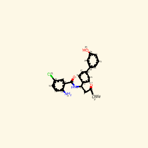 COC(=O)CC(NC(=O)c1cc(Cl)ccc1N)c1ccc(-c2cccc(O)c2)cc1